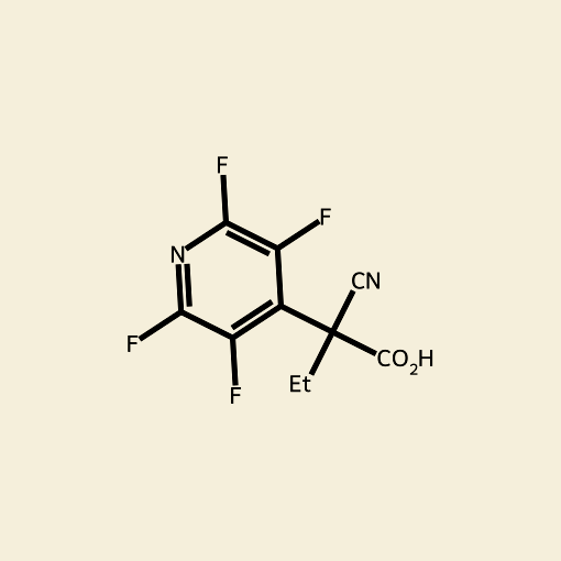 CCC(C#N)(C(=O)O)c1c(F)c(F)nc(F)c1F